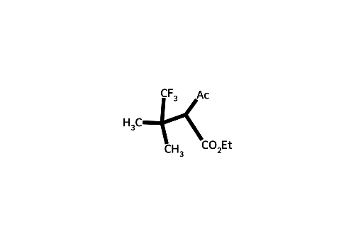 CCOC(=O)C(C(C)=O)C(C)(C)C(F)(F)F